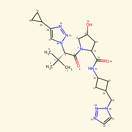 CC(C)(C)[C@@H](C(=O)N1CC(O)CC1C(=O)NC1CC(Cn2ccnn2)C1)n1cc(C2CC2)nn1